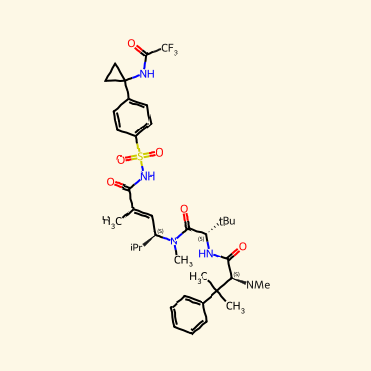 CN[C@H](C(=O)N[C@H](C(=O)N(C)[C@H](C=C(C)C(=O)NS(=O)(=O)c1ccc(C2(NC(=O)C(F)(F)F)CC2)cc1)C(C)C)C(C)(C)C)C(C)(C)c1ccccc1